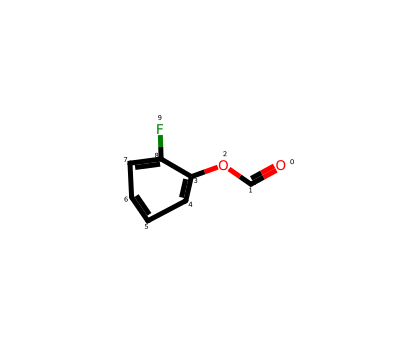 O=[C]Oc1ccccc1F